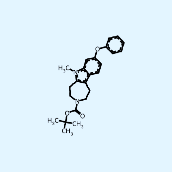 Cn1c2c(c3ccc(Oc4ccccc4)cc31)CCN(C(=O)OC(C)(C)C)CC2